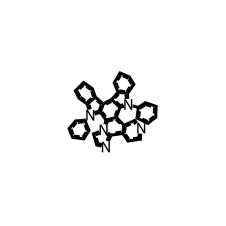 c1ccc(-n2c3ccccc3c3c4c5ccccc5n(-c5ccccc5)c4c4c(c5cnccc5c5nccn54)c32)cc1